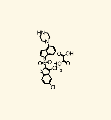 Cc1c(S(=O)(=O)n2ccc3c(N4CCNCC4)cccc32)sc2ccc(Cl)cc12.O=C(O)C(=O)O